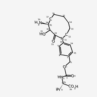 CC(C)[C@H](NC(=O)OCc1ccc(N2CCCCCC[C@H](N)C(O)C2=O)cc1)C(=O)O